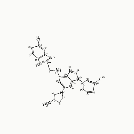 NC1CCN(c2nc(NCc3nc4cc(Cl)ccc4[nH]3)c3ncn(-c4cccc(F)c4)c3n2)C1